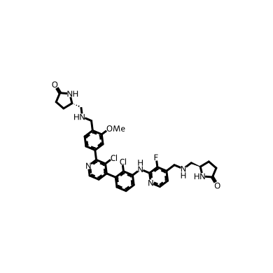 COc1cc(-c2nccc(-c3cccc(Nc4nccc(CNC[C@H]5CCC(=O)N5)c4F)c3Cl)c2Cl)ccc1CNC[C@@H]1CCC(=O)N1